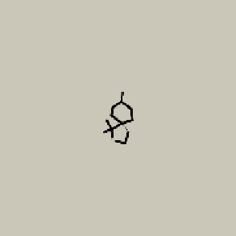 CC1(C)OCC[C@]12CC[C@H](C)CC2